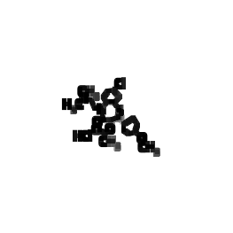 COc1ccc([C@H]2Sc3cc(Cl)ccc3N(CCN(C)C)C(=O)[C@H]2OC(C)=O)cc1.Cl